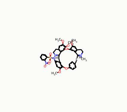 COc1cc2c3cc1Oc1ccc(cc1)C[C@@H]1c4cc(c(OC)cc4CCN1C)Oc1c(OC)c(OC)cc4c1[C@@H](C3)N(CC4)N2S(=O)(=O)c1ccccc1[N+](=O)[O-]